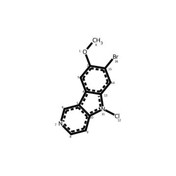 COc1cc2c3cnccc3n(Cl)c2cc1Br